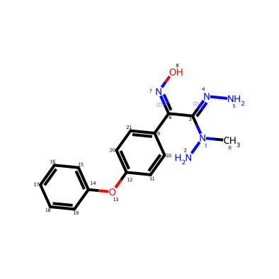 CN(N)C(=N\N)/C(=N\O)c1ccc(Oc2ccccc2)cc1